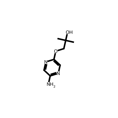 CC(C)(O)COc1cnc(N)cn1